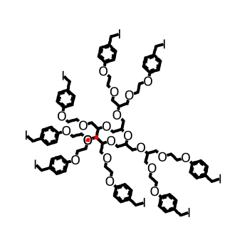 ICc1ccc(OCCOCC(COCCOc2ccc(CI)cc2)OCC(COC(COCCOc2ccc(CI)cc2)COCCOc2ccc(CI)cc2)OC(COC(COCCOc2ccc(CI)cc2)COCCOc2ccc(CI)cc2)COC(COCCOc2ccc(CI)cc2)COCCOc2ccc(CI)cc2)cc1